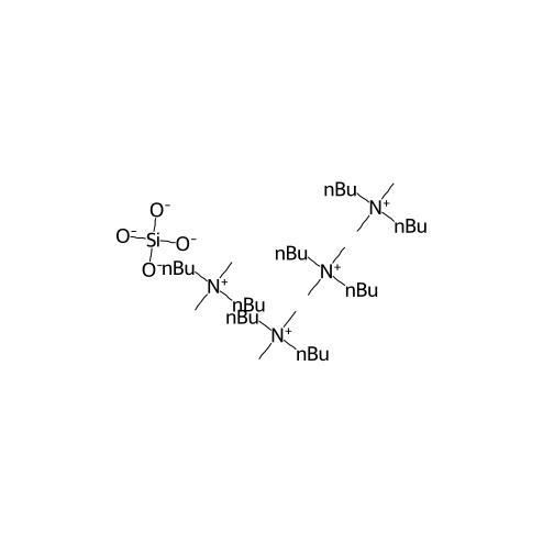 CCCC[N+](C)(C)CCCC.CCCC[N+](C)(C)CCCC.CCCC[N+](C)(C)CCCC.CCCC[N+](C)(C)CCCC.[O-][Si]([O-])([O-])[O-]